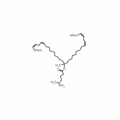 CCCCC/C=C\C/C=C\CCCCCCCCC(C)(CCCCCCCC/C=C\C/C=C\CCCCC)OC(=O)CCCN(C)C